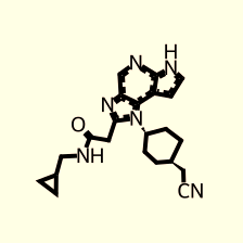 N#CC[C@H]1CC[C@H](n2c(CC(=O)NCC3CC3)nc3cnc4[nH]ccc4c32)CC1